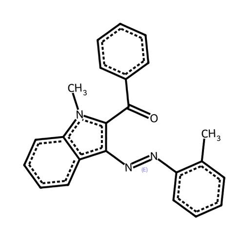 Cc1ccccc1/N=N/c1c(C(=O)c2ccccc2)n(C)c2ccccc12